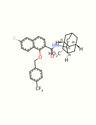 O=C(N[C@@]1(C(=O)O)CC2C[C@@H]3C[C@H](C2)C[C@H]1C3)c1ccc2cc(F)ccc2c1OCc1ccc(C(F)(F)F)cc1